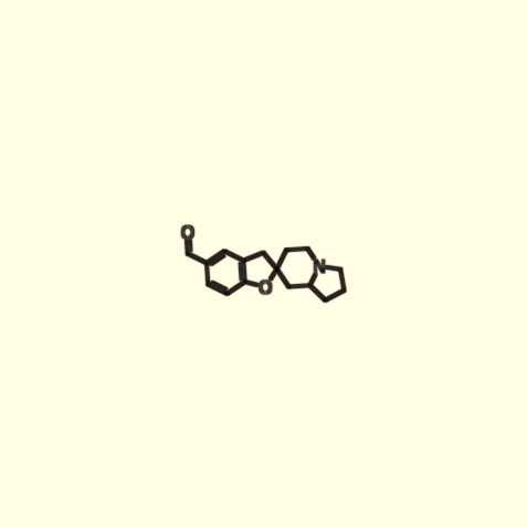 O=Cc1ccc2c(c1)CC1(CCN3CCCC3C1)O2